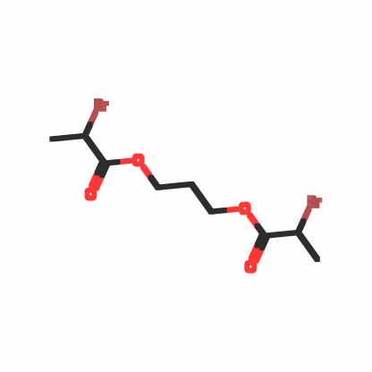 CC(Br)C(=O)OCCCOC(=O)C(C)Br